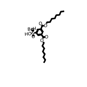 CCCCCCCCOC(=O)c1cc(C(=O)OCCCCCCCC)cc(S(=O)(=O)O)c1.[BaH2]